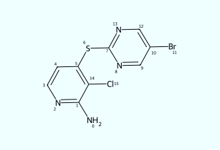 Nc1nccc(Sc2ncc(Br)cn2)c1Cl